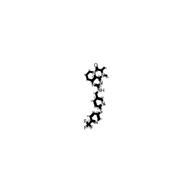 CC1C(=O)N2CCCc3nc(NCc4ccc(Sc5ccc(C(F)(F)F)nc5)nc4)nc(c32)N1C